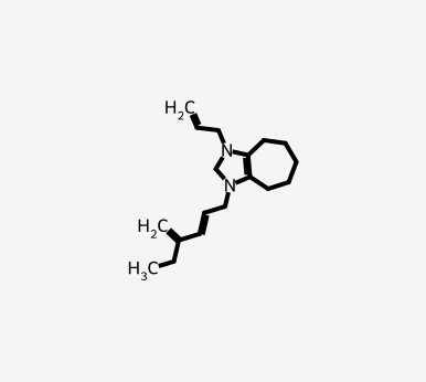 C=CCN1CN(C/C=C/C(=C)CC)C2=C1CCCCC2